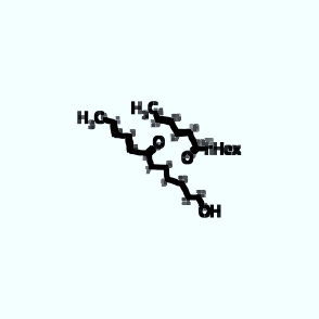 C/C=C/C=C/C(=O)CCCCCCO.CC=CC=CC(=O)CCCCCC